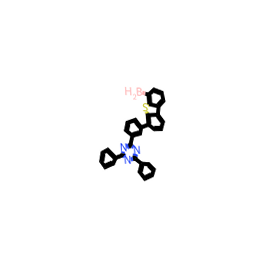 Bc1cccc2c1sc1c(-c3cccc(-c4nc(-c5ccccc5)nc(-c5ccccc5)n4)c3)cccc12